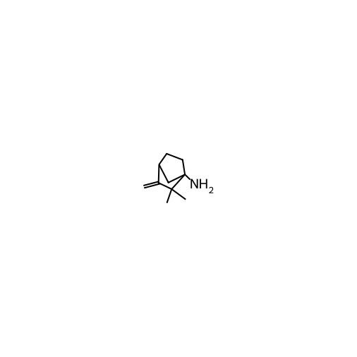 C=C1C2CCC(N)(C2)C1(C)C